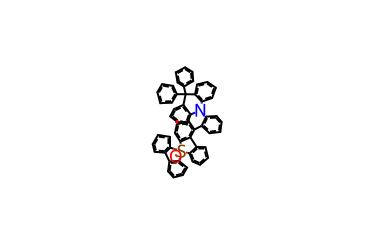 O=S12(c3ccccc3-c3ccccc31)c1ccccc1-c1c(-c3ccccc3N3c4ccccc4C(c4ccccc4)(c4ccccc4)c4ccccc43)cccc12